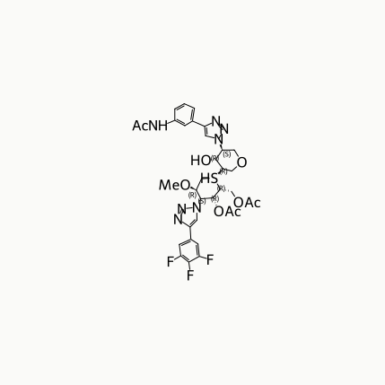 CO[C@H]1C[SH]([C@@H]2COC[C@H](n3cc(-c4cccc(NC(C)=O)c4)nn3)[C@H]2O)[C@H](COC(C)=O)[C@H](OC(C)=O)[C@H]1n1cc(-c2cc(F)c(F)c(F)c2)nn1